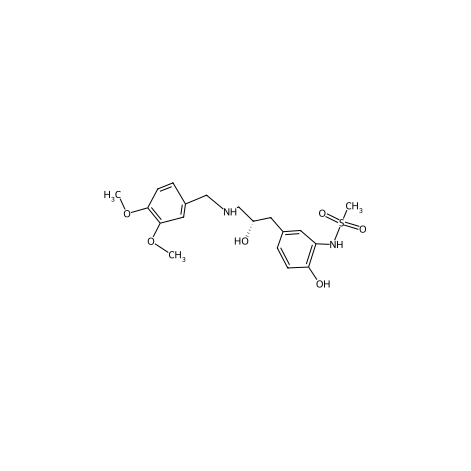 COc1ccc(CNC[C@@H](O)Cc2ccc(O)c(NS(C)(=O)=O)c2)cc1OC